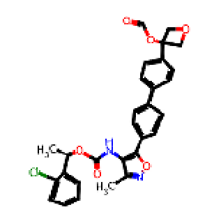 Cc1noc(-c2ccc(-c3ccc(C4(OC=O)COC4)cc3)cc2)c1NC(=O)O[C@H](C)c1ccccc1Cl